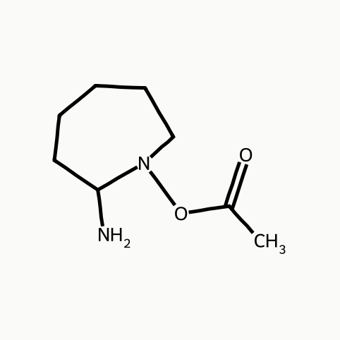 CC(=O)ON1CCCCCC1N